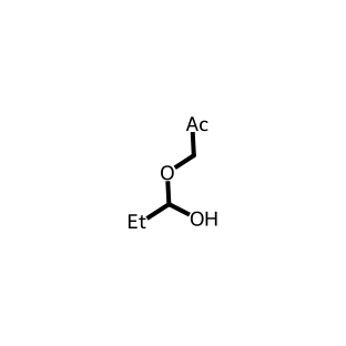 CCC(O)OCC(C)=O